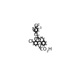 O=C(O)COc1ccc(Cl)cc1C1c2ccccc2CCN1C(=O)COc1ccc(C(F)(F)F)nc1